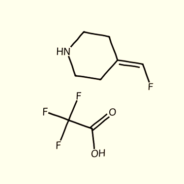 FC=C1CCNCC1.O=C(O)C(F)(F)F